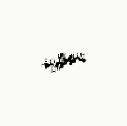 C=CC[C@H](O)c1cc(C)c(-c2cc3cnc(NC(=O)[C@H]4CC4(F)F)cc3n3ncnc23)cn1